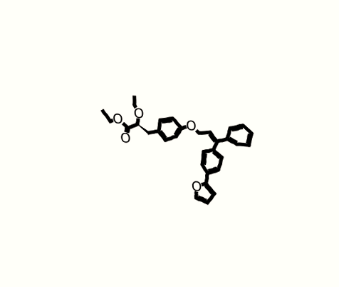 CCOC(=O)[C@H](Cc1ccc(OC/C=C(/c2ccccc2)c2ccc(-c3ccco3)cc2)cc1)OCC